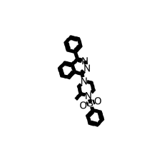 CC1CN(c2nnc(-c3ccccc3)c3ccccc23)CCN1S(=O)(=O)c1ccccc1